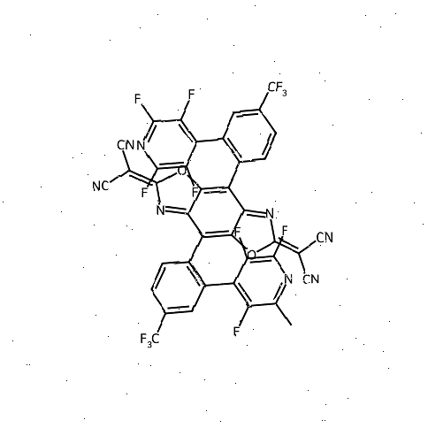 Cc1nc(F)c(F)c(-c2cc(C(F)(F)F)ccc2-c2c3nc(=C(C#N)C#N)oc3c(-c3ccc(C(F)(F)F)cc3-c3c(F)c(F)nc(F)c3F)c3nc(=C(C#N)C#N)oc23)c1F